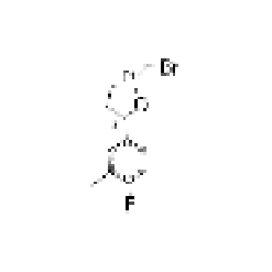 Cc1cc([C@@H]2CC[C@H](CBr)O2)ccc1F